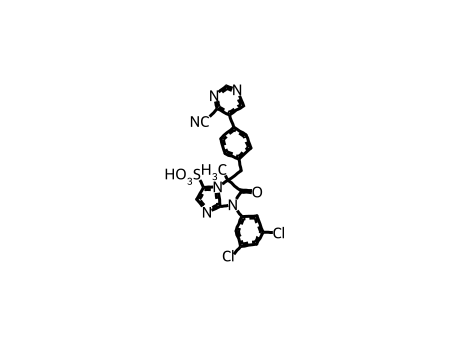 CC1(Cc2ccc(-c3cncnc3C#N)cc2)C(=O)N(c2cc(Cl)cc(Cl)c2)c2ncc(S(=O)(=O)O)n21